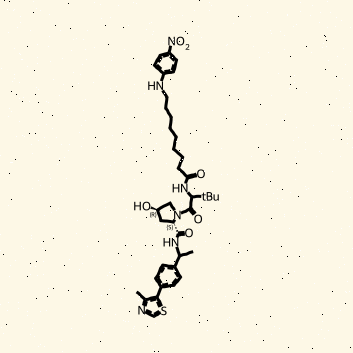 Cc1ncsc1-c1ccc(C(C)NC(=O)[C@@H]2C[C@@H](O)CN2C(=O)C(NC(=O)CCCCCCCCNc2ccc([N+](=O)[O-])cc2)C(C)(C)C)cc1